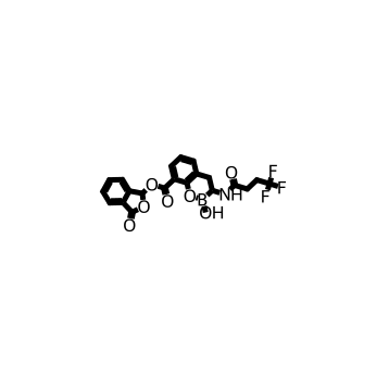 O=C(CCC(F)(F)F)NC1Cc2cccc(C(=O)OC3OC(=O)c4ccccc43)c2OB1O